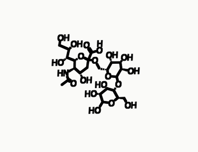 CC(=O)N[C@H]1[C@H]([C@H](O)[C@H](O)CO)OC(OC[C@H]2OC(O[C@H]3[C@H](O)[C@@H](O)C(O)O[C@@H]3CO)[C@H](O)[C@@H](O)[C@H]2O)(C(=O)O)C[C@@H]1O